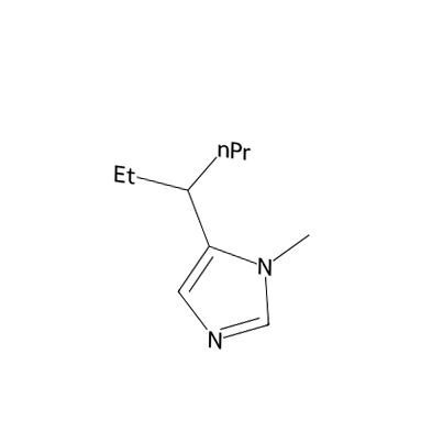 CCCC(CC)c1cncn1C